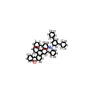 c1ccc(-c2ccc(N(c3cc(-c4ccccc4)cc(-c4ccccc4)c3)c3ccccc3-c3ccc4c5ccccc5c5c(ccc6oc7ccccc7c65)c4c3)cc2)cc1